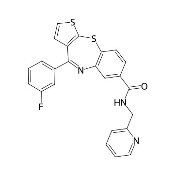 O=C(NCc1ccccn1)c1ccc2c(c1)N=C(c1cccc(F)c1)c1ccsc1S2